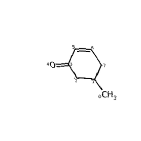 CC1[CH]C(=O)C=CC1